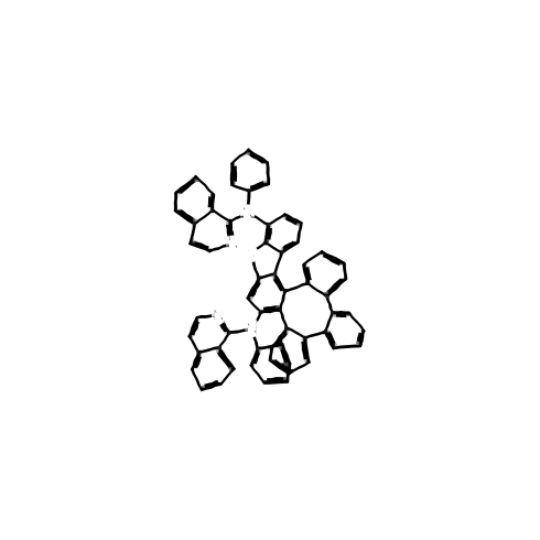 c1ccc(N(c2cc3sc4c(N(c5ccccc5)c5nccc6ccccc56)cccc4c3c3c2-c2ccccc2-c2ccccc2-c2ccccc2-3)c2nccc3ccccc23)cc1